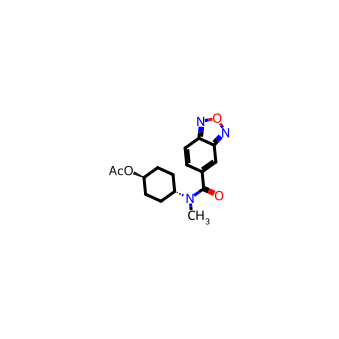 CC(=O)O[C@H]1CC[C@H](N(C)C(=O)c2ccc3nonc3c2)CC1